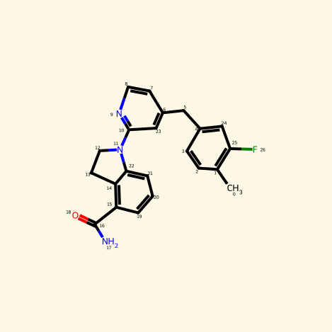 Cc1ccc(Cc2ccnc(N3CCc4c(C(N)=O)cccc43)c2)cc1F